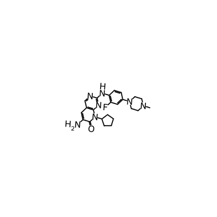 CN1CCN(c2ccc(Nc3ncc4cc(N)c(=O)n(C5CCCC5)c4n3)c(F)c2)CC1